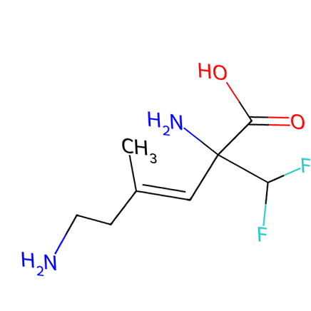 C/C(=C\C(N)(C(=O)O)C(F)F)CCN